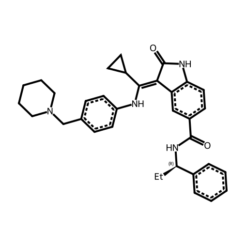 CC[C@@H](NC(=O)c1ccc2c(c1)C(=C(Nc1ccc(CN3CCCCC3)cc1)C1CC1)C(=O)N2)c1ccccc1